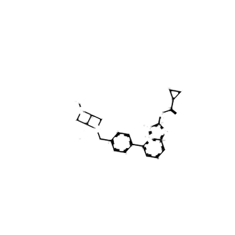 CCN1C[C@H]2C1CN2Cc1ccc(-c2cccc3nc(NC(=O)C4CC4)nn23)cc1